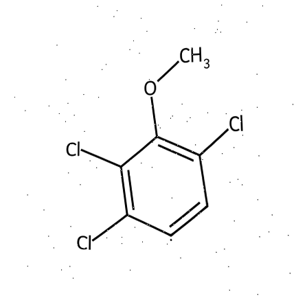 COc1c(Cl)c[c]c(Cl)c1Cl